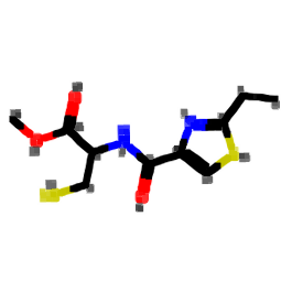 CCc1nc(C(=O)NC(CS)C(=O)OC)cs1